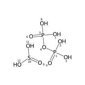 O=P(O)(O)OP(=O)(O)O.O=S(O)O